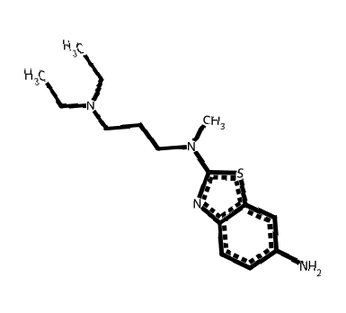 CCN(CC)CCCN(C)c1nc2ccc(N)cc2s1